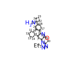 CCc1nnc2n1-c1cc(-c3ccccc3)c(-c3ccc(C4(N)CCC4)cc3)nc1OC2